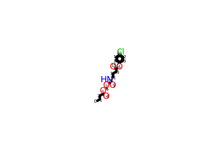 CCCC(=O)OCOC(=O)NCCCC(=O)Oc1ccc(Cl)cc1